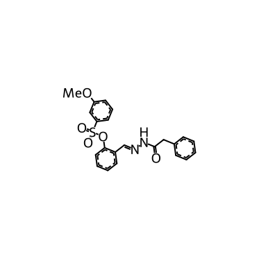 COc1cccc(S(=O)(=O)Oc2ccccc2C=NNC(=O)Cc2ccccc2)c1